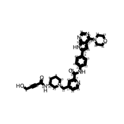 O=C(C#CCO)N[C@@H]1CCCN(Cc2ccnc(C(=O)Nc3ccc(-c4cc5c(N6CCOCC6)ncnc5[nH]4)cc3)c2)C1